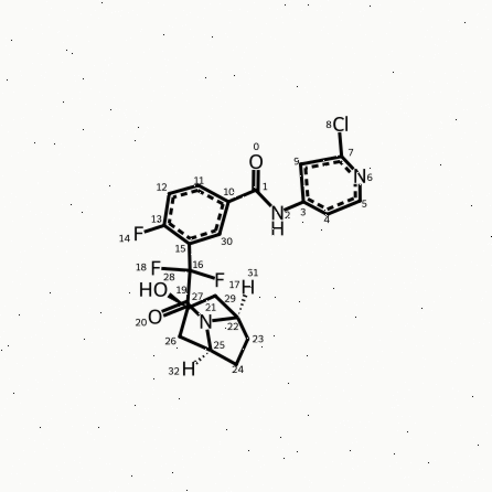 O=C(Nc1ccnc(Cl)c1)c1ccc(F)c(C(F)(F)C(=O)N2[C@@H]3CC[C@H]2C[C@@H](O)C3)c1